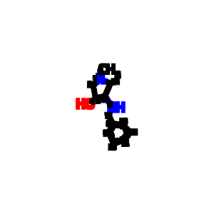 CN1CC(O)C(NCc2ccccc2)C1